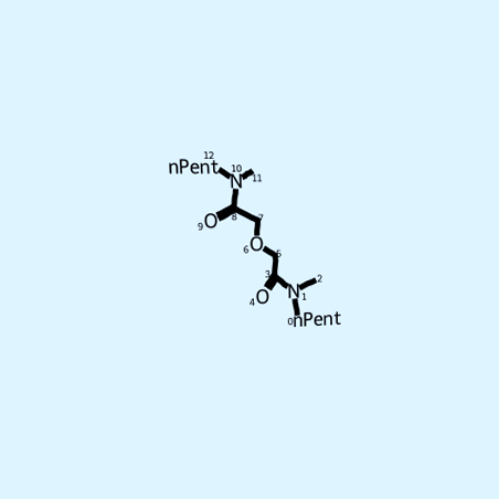 CCCCCN(C)C(=O)COCC(=O)N(C)CCCCC